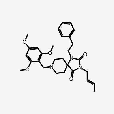 CC=CCN1C(=O)N(CCc2ccccc2)C2(CCN(Cc3c(OC)cc(OC)cc3OC)CC2)C1=O